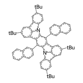 CC(C)(C)c1ccc2c(c1)c1cc(C(C)(C)C)cc3c4c(-c5ccc6ccccc6c5)c5c(c(-c6ccc7ccccc7c6)c4n2c13)c1cc(C(C)(C)C)cc2c3cc(C(C)(C)C)ccc3n5c21